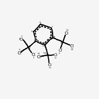 ClC(Cl)(Cl)c1cccc(C(Cl)(Cl)Cl)c1C(Cl)(Cl)Cl